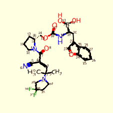 CC(C)(C=C(C#N)C(=O)N1CCC[C@@H]1COC(=O)NC(Cc1coc2ccccc12)B(O)O)N1CCC(F)(F)C1